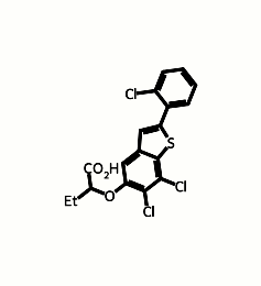 CCC(Oc1cc2cc(-c3ccccc3Cl)sc2c(Cl)c1Cl)C(=O)O